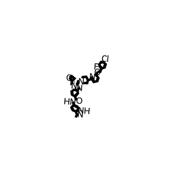 Cc1n[nH]c2cc(NC(=O)c3ccc4c(c3)nc(CN3CCC(c5cccc(OCc6ccc(Cl)cc6F)n5)CC3)n4C[C@@H]3CCO3)ccc12